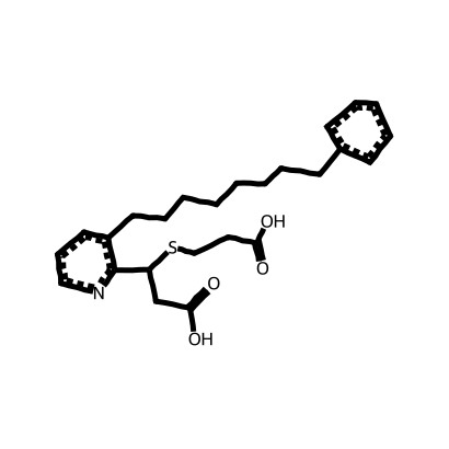 O=C(O)CCSC(CC(=O)O)c1ncccc1CCCCCCCCc1ccccc1